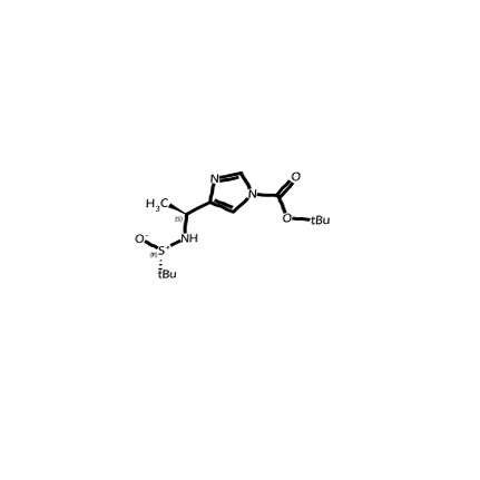 C[C@H](N[S@@+]([O-])C(C)(C)C)c1cn(C(=O)OC(C)(C)C)cn1